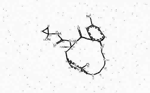 N#Cc1ccc2c(c1)C(=O)N[C@@H](OC(=O)NC1(C#N)CC1)Cc1ccc(c(Cl)c1)OCCCCO2